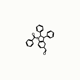 O=CC1C=CC2=C(C1)C(c1ccccc1)C(c1ccccc1)N2C(=O)c1ccccc1